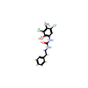 Cc1c(Cl)cc(NC(=O)NCCc2ccccc2)c(O)c1Cl